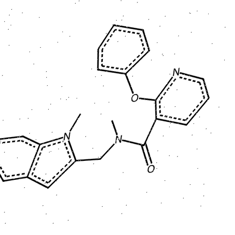 CN(Cc1cc2ccccc2n1C)C(=O)c1cccnc1Oc1ccccc1